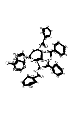 O=C(OC[C@H]1O[C@@H](n2cnc3c(Cl)ncnc32)C[C@H](OC(=O)c2ccccc2)[C@@H](OC(=O)c2ccccc2)[C@@H]1OC(=O)c1ccccc1)c1ccccc1